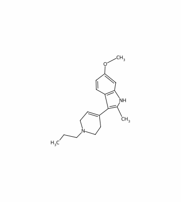 CCCN1CC=C(c2c(C)[nH]c3cc(OC)ccc23)CC1